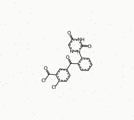 O=C(Cl)c1cc(C(=O)c2ccccc2-n2ncc(=O)[nH]c2=O)ccc1Cl